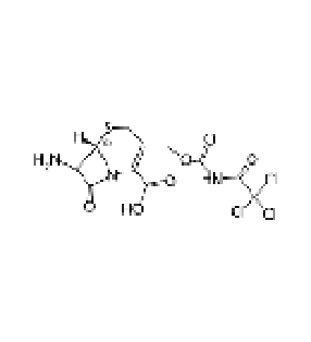 NC1C(=O)N2C(C(=O)O)=C(COC(=O)NC(=O)C(Cl)(Cl)Cl)CS[C@@H]12